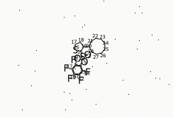 O=S(=O)(Oc1c(F)c(F)c(F)c(F)c1F)C1SCCC1C1CCCCCCCC1